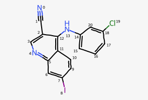 N#Cc1cnc2cc(I)ccc2c1Nc1cccc(Cl)c1